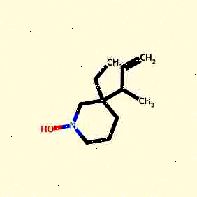 C=CC(C)C1(CC)CCCN(O)C1